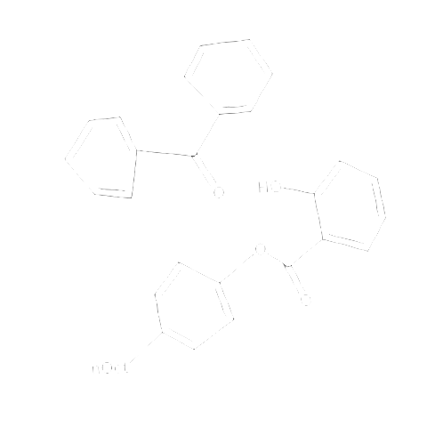 CCCCCCCCc1ccc(OC(=O)c2ccccc2O)cc1.O=C(c1ccccc1)c1ccccc1